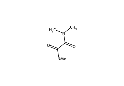 CNC(=O)C(=O)N(C)C